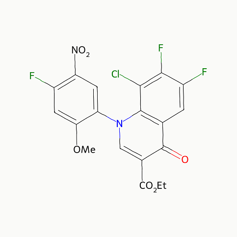 CCOC(=O)c1cn(-c2cc([N+](=O)[O-])c(F)cc2OC)c2c(Cl)c(F)c(F)cc2c1=O